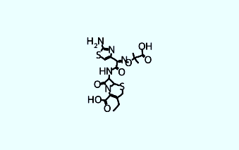 CCC1=C(C(=O)O)N2C(=O)C(NC(=O)/C(=N\OC(C)(C)C(=O)O)c3csc(N)n3)C2SC1